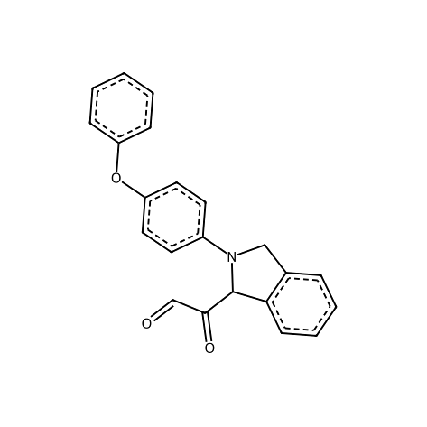 O=CC(=O)C1c2ccccc2CN1c1ccc(Oc2ccccc2)cc1